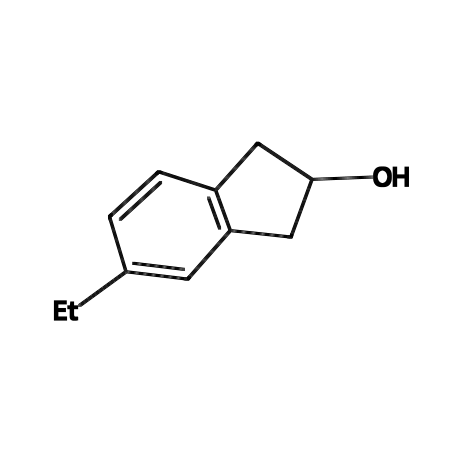 CCc1ccc2c(c1)CC(O)C2